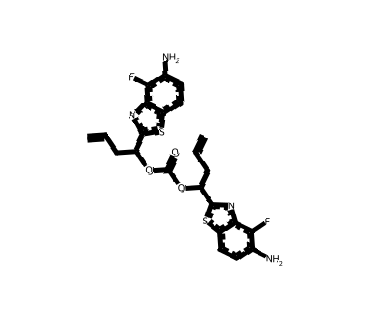 C=CCC(OC(=O)OC(CC=C)c1nc2c(F)c(N)ccc2s1)c1nc2c(F)c(N)ccc2s1